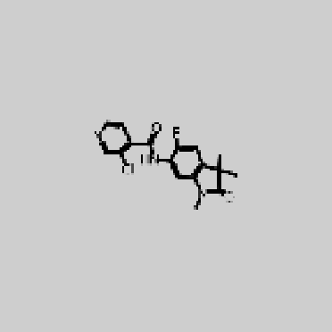 CN1C(=O)C(C)(C)c2cc(F)c(NC(=O)c3ccncc3Cl)cc21